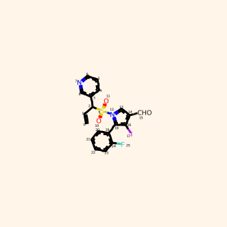 C=CC(c1cccnc1)S(=O)(=O)n1cc(C=O)c(I)c1-c1ccccc1F